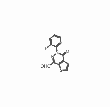 O=Cc1nn(-c2ccccc2F)c(=O)c2ccsc12